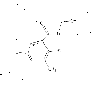 Cc1cc(Cl)cc(C(=O)OCO)c1Cl